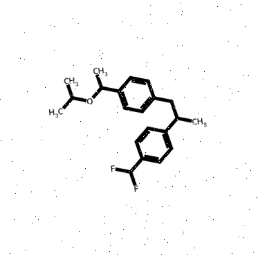 CC(C)OC(C)c1ccc(CC(C)c2ccc(C(F)F)cc2)cc1